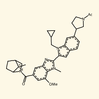 COc1cc(C(=O)N2CC3CCC2[C@@H]3C)cc2nc(-c3cc4ccc(C5CCN(C(C)=O)C5)cc4n3CC3CC3)n(C)c12